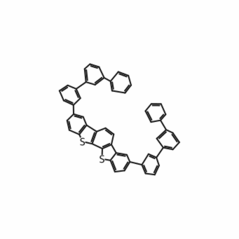 c1ccc(-c2cccc(-c3cccc(-c4ccc5sc6c(ccc7c8cc(-c9cccc(-c%10cccc(-c%11ccccc%11)c%10)c9)ccc8sc76)c5c4)c3)c2)cc1